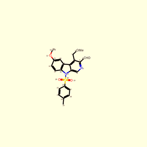 COCc1c(C=O)ncc2c1c1cc(OC(C)C)ccc1n2S(=O)(=O)c1ccc(C)cc1